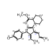 C=C/C=c1/c(N2CCOCC2C(=O)OC)nn(-c2ccc(Cl)cc2)/c1=C/C